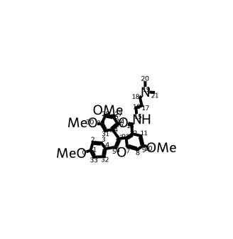 COc1ccc(-c2oc3cc(OC)cc(C(=O)NCCCN(C)C)c3c2-c2cc(OC)cc(OC)c2)cc1